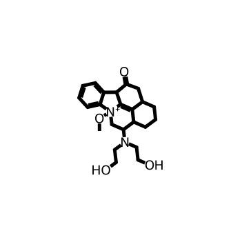 CO[N+]12CC(N(CCO)CCO)C3CCCC4CC(=O)C(C1=C43)c1ccccc12